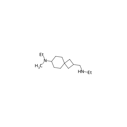 CCNCC1CC2(CCC(N(C)CC)CC2)C1